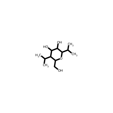 CC(C)C1OC(CO)C(C(C)C)C(O)C1O